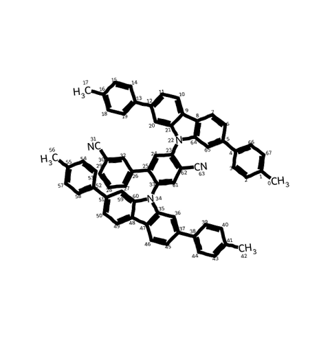 Cc1ccc(-c2ccc3c4ccc(-c5ccc(C)cc5)cc4n(-c4cc(-c5cccc(C#N)c5)c(-n5c6cc(-c7ccc(C)cc7)ccc6c6ccc(-c7ccc(C)cc7)cc65)cc4C#N)c3c2)cc1